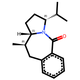 CC(C)[C@H]1CC[C@H]2[C@H](C)Cc3ccccc3C(=O)N12